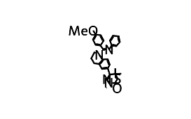 COc1ccc(C(=Nc2ccccc2)N2CCCc3cc(C4=NN(C)C(=O)SC4(C)C)ccc32)cc1